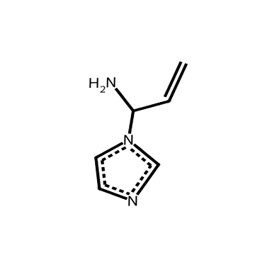 C=CC(N)n1ccnc1